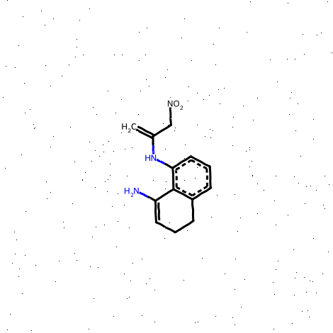 C=C(C[N+](=O)[O-])Nc1cccc2c1C(N)=CCC2